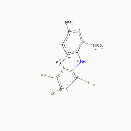 O=[N+]([O-])c1cc([N+](=O)[O-])c(Nc2cc(F)c(Cl)cc2F)c(C(F)(F)F)c1